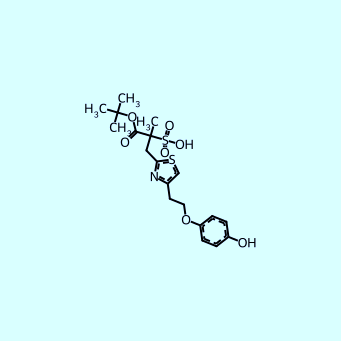 CC(C)(C)OC(=O)C(C)(Cc1nc(CCOc2ccc(O)cc2)cs1)S(=O)(=O)O